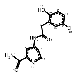 NC(=O)c1cc(NC(=O)Cc2cc(Cl)ccc2O)ccn1